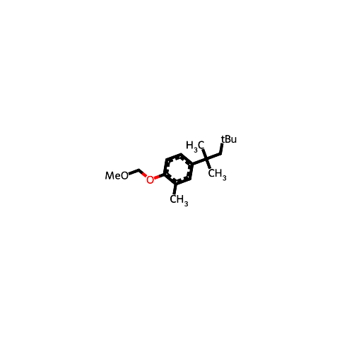 [CH2]OCOc1ccc(C(C)(C)CC(C)(C)C)cc1C